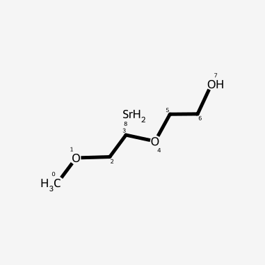 COCCOCCO.[SrH2]